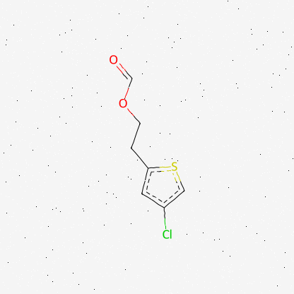 O=COCCc1cc(Cl)cs1